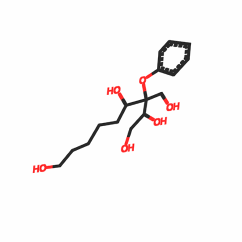 OCCCCCC(O)C(CO)(Oc1ccccc1)C(O)CO